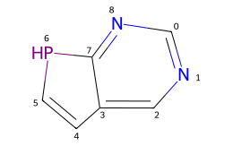 c1ncc2cc[pH]c2n1